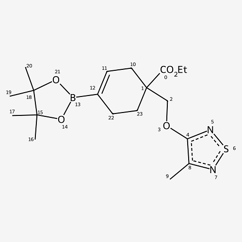 CCOC(=O)C1(COc2nsnc2C)CC=C(B2OC(C)(C)C(C)(C)O2)CC1